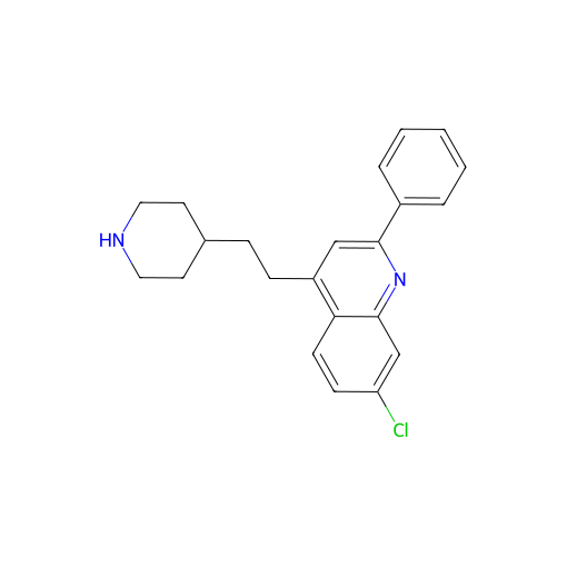 Clc1ccc2c(CCC3CCNCC3)cc(-c3ccccc3)nc2c1